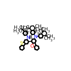 CC(C)(C)c1ccc(N2B3c4cc5c(cc4N(c4ccc6c(c4)C(C)(C)CCC6(C)C)c4cc6c(oc7ccccc76)c(c43)-c3cc4c(cc32)sc2ccccc24)C(C)(C)CCC5(C)C)cc1